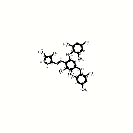 Cc1cc(C)c(Nc2cc(Nc3c(C)cc(C)cc3C)c(N=Nc3snc(C)c3C#N)c(C)c2C#N)c(C)c1